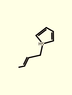 CC=CC[SH]1C=CC=C1